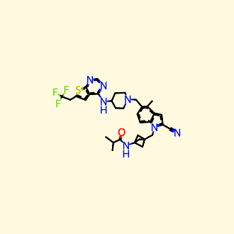 Cc1c(CN2CCC(Nc3ncnc4sc(CC(F)(F)F)cc34)CC2)ccc2c1cc(C#N)n2CC12CC(NC(=O)C(C)C)(C1)C2